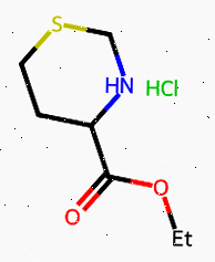 CCOC(=O)C1CCSCN1.Cl